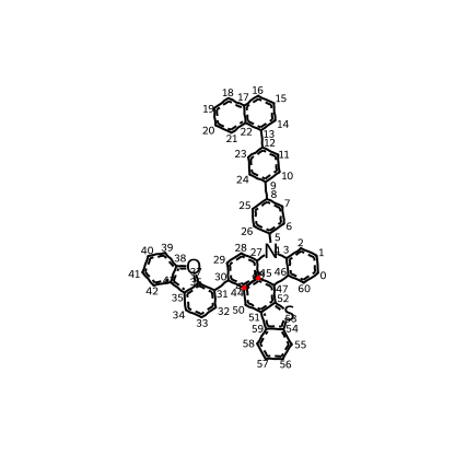 c1ccc(N(c2ccc(-c3ccc(-c4cccc5ccccc45)cc3)cc2)c2ccc(-c3cccc4c3oc3ccccc34)cc2)c(-c2cccc3c2sc2ccccc23)c1